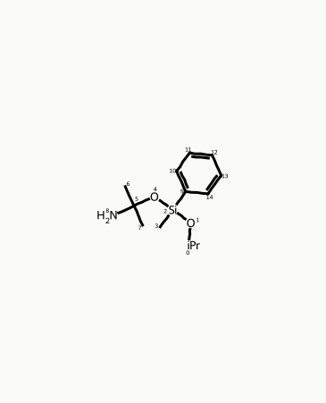 CC(C)O[Si](C)(OC(C)(C)N)c1ccccc1